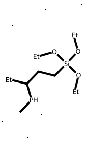 CCO[Si](CCC(CC)PC)(OCC)OCC